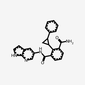 NC(=O)c1cccc(C(=O)Nc2cnc3[nH]ccc3c2)c1C1CC1c1ccccc1